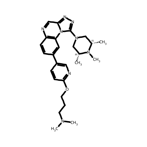 C[C@@H]1CN(c2nnc3cnc4ccc(-c5ccc(OCCCN(C)C)nc5)cc4n23)C[C@H](C)N1C